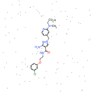 CN(CC(=O)O)c1cc(Cn2cc(C(=O)NCCOc3cccc(Cl)c3)c(N)n2)ccn1